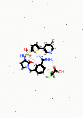 N=C(N)c1cccc(CN2CCC(NS(=O)(=O)c3ccc(-c4cncc(Cl)c4)s3)C2=O)c1.O=C(O)C(F)(F)F